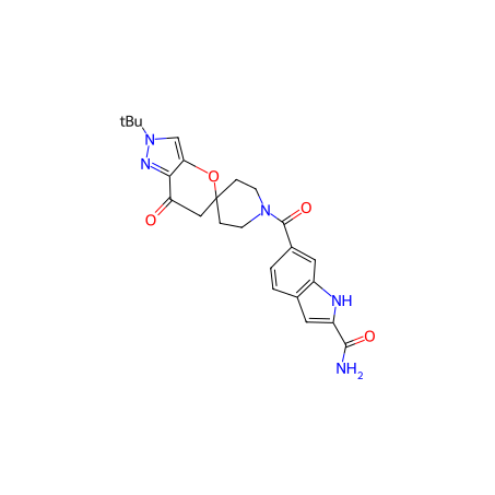 CC(C)(C)n1cc2c(n1)C(=O)CC1(CCN(C(=O)c3ccc4cc(C(N)=O)[nH]c4c3)CC1)O2